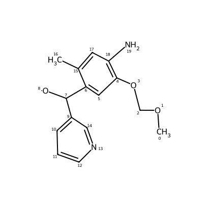 COCOc1cc(C([O])c2cccnc2)c(C)cc1N